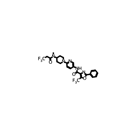 CN(C(=O)CC(F)(F)F)C1CCN(c2ccc(NC(=O)c3nc(-c4ccccc4)oc3C(F)(F)F)cn2)CC1